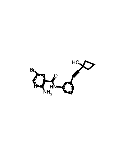 Nc1ncc(Br)cc1C(=O)Nc1cccc(C#CC2(O)CCC2)c1